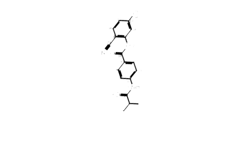 CC(C)C(=O)Nc1ccc(C(=O)Oc2cc(Cl)ccc2C#N)cc1